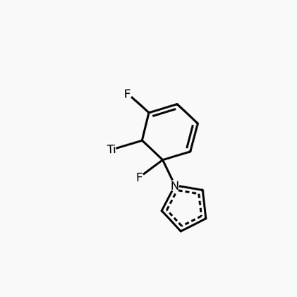 FC1=CC=CC(F)(n2cccc2)[CH]1[Ti]